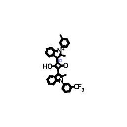 CC1=[N+](c2cccc(C)c2)c2ccccc2/C1=C1/C(=O)C(c2c(C)n(-c3cccc(C(F)(F)F)c3)c3ccccc23)=C1O